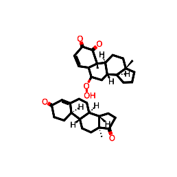 C[C@@]12CCC[C@H]1[C@@H]1CC(OO)C3C=CC(=O)C(=O)[C@]3(C)[C@H]1CC2.C[C@]12CC[C@H]3[C@@H](CCC4=CC(=O)CC[C@@H]43)[C@@H]1CCC2=O